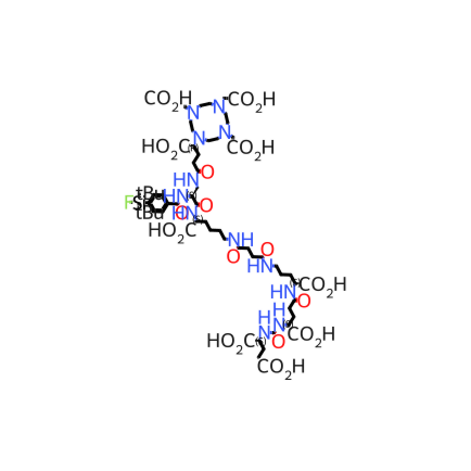 CC(C)(C)[Si](F)(c1ccc(C(=O)N[C@@H](CNC(=O)CC[C@H](C(=O)O)N2CCN(CC(=O)O)CCN(CC(=O)O)CCN(CC(=O)O)CC2)C(=O)N[C@@H](CCCCNC(=O)CCC(=O)NCCC[C@H](NC(=O)CC[C@H](NC(=O)N[C@@H](CCC(=O)O)C(=O)O)C(=O)O)C(=O)O)C(=O)O)cc1)C(C)(C)C